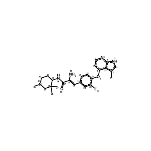 Cc1c[nH]c2nccc(Oc3ccc(C=C(N)C(=O)NC4CCN(C)CC4(C)C)cc3F)c12